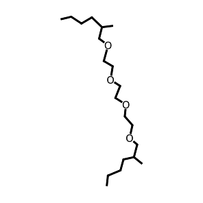 CCCCC(C)COCCOCCOCCOCC(C)CCCC